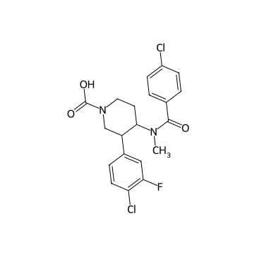 CN(C(=O)c1ccc(Cl)cc1)C1CCN(C(=O)O)CC1c1ccc(Cl)c(F)c1